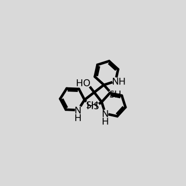 OC(C1(S)C=CC=CN1)(C1(S)C=CC=CN1)C1(S)C=CC=CN1